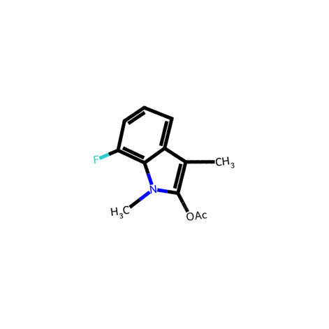 CC(=O)Oc1c(C)c2cccc(F)c2n1C